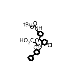 CC(C)(C)OC(=O)NCc1cccc(C2OC(CC(=O)O)C(=O)N(Cc3ccc(-c4ccccc4)cc3)c3cc(Cl)ccc32)c1